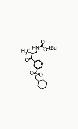 CC(CNC(=O)OC(C)(C)C)C(=O)c1cccc(S(=O)(=O)CC2CCCCC2)c1